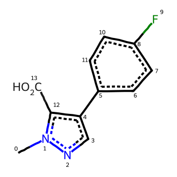 Cn1ncc(-c2ccc(F)cc2)c1C(=O)O